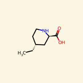 CC[C@@H]1CCN[C@@H](C(=O)O)C1